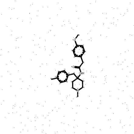 COc1ccc(CC(=O)NC2(Cc3ccc(C)cc3)CCN(C)CC2)cc1